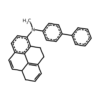 CN(c1ccc(-c2ccccc2)cc1)c1ccc2c3c1CCC1=C3C(C=C2)CC=C1